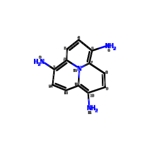 NC1=C2C=CC(N)=C3C=CC(N)=C(C=C1)N23